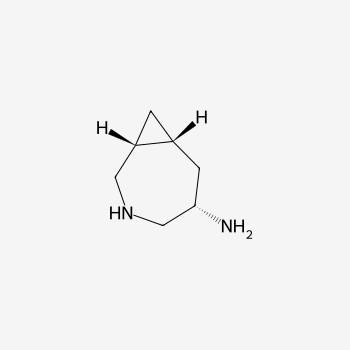 N[C@@H]1CNC[C@@H]2C[C@@H]2C1